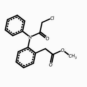 COC(=O)Cc1ccccc1N(C(=O)CCl)c1ccccc1